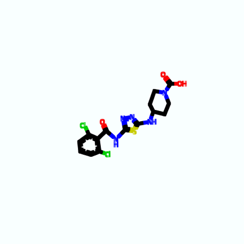 O=C(Nc1nnc(NC2CCN(C(=O)O)CC2)s1)c1c(Cl)cccc1Cl